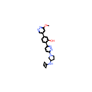 COc1cc(-c2ccc(-c3ccc(N4CCC(NC56CC5C6)C4)nn3)c(O)c2)cnn1